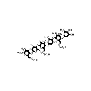 CO[C@@H]1OC(COS(=O)(=O)O)[C@@H](O[C@H]2C[C@H](O)[C@@H](O[C@@H]3OC(COS(=O)(=O)O)[C@@H](O[C@H]4C[C@H](O)C(O[C@@H]5OC(COS(=O)(=O)O)[C@@H](O[C@H]6C[C@H](O)[C@H](O)C(C)O6)[C@H](O)C5N)C(C)O4)[C@H](O)C3N)C(C)O2)[C@H](O)C1N